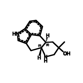 CC1(O)CN[C@@H]2Cc3c[nH]c4cccc(c34)[C@H]2C1